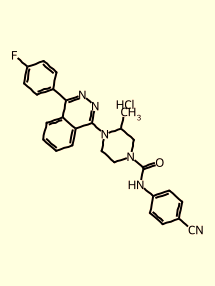 CC1CN(C(=O)Nc2ccc(C#N)cc2)CCN1c1nnc(-c2ccc(F)cc2)c2ccccc12.Cl